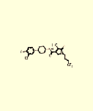 O=C(N[C@H]1CC[C@@H](c2ccc(Cl)c(Cl)c2)CC1)C1=C(O)C(=O)N(CCCC(F)(F)F)C1